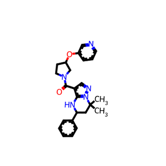 CC1(C)CC(c2ccccc2)Nc2c(C(=O)N3CCC(Oc4cccnc4)C3)cnn21